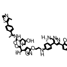 Cc1ncsc1-c1ccc([C@H](C)NC(=O)[C@@H]2C[C@@H](O)CN2C(=O)C(c2cc(OCCNc3ccc(-c4cc(-c5ccccc5O)nnc4N)cc3)no2)C(C)C)cc1